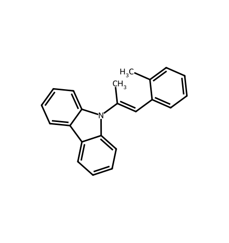 C/C(=C\c1ccccc1C)n1c2ccccc2c2ccccc21